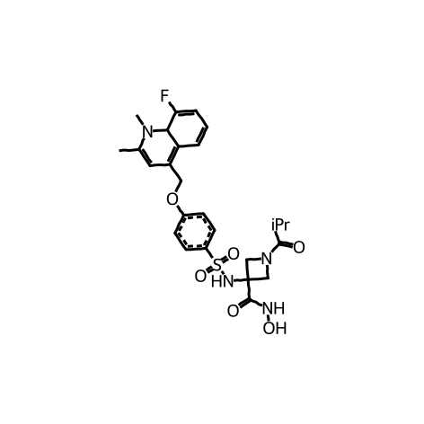 CC1=CC(COc2ccc(S(=O)(=O)NC3(C(=O)NO)CN(C(=O)C(C)C)C3)cc2)=C2C=CC=C(F)C2N1C